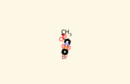 CCOC(=O)[C@@H]1CCCN(S(=O)(=O)c2ccc(Br)cc2)C1